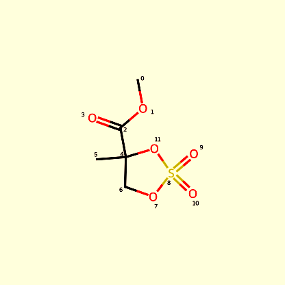 COC(=O)C1(C)COS(=O)(=O)O1